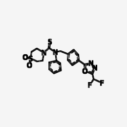 O=S1(=O)CCN(C(=S)N(Cc2ccc(-c3nnc(C(F)F)o3)cc2)c2ccccc2)CC1